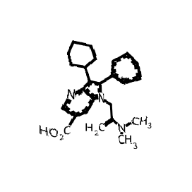 C=C(Cn1c(-c2ccccc2)c(C2CCCCC2)c2ncc(C(=O)O)cc21)N(C)C